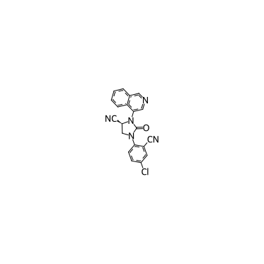 N#Cc1cc(Cl)ccc1N1C[C@@H](C#N)N(c2cncc3ccccc23)C1=O